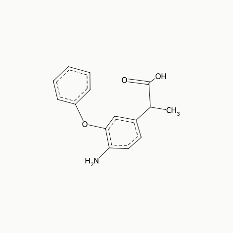 CC(C(=O)O)c1ccc(N)c(Oc2ccccc2)c1